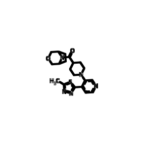 Cc1nnc(-c2ccncc2N2CCC(C(=O)N3C4CCC3COC4)CC2)s1